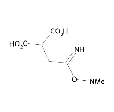 CNOC(=N)CC(C(=O)O)C(=O)O